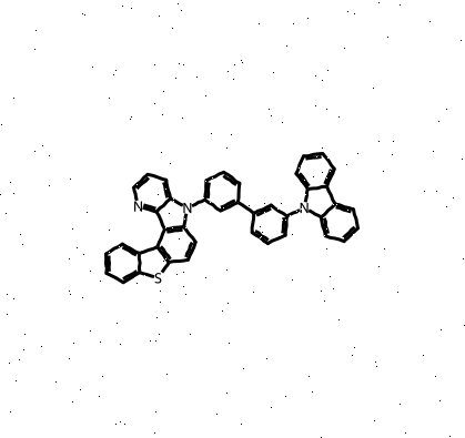 c1cc(-c2cccc(-n3c4cccnc4c4c5c(ccc43)sc3ccccc35)c2)cc(-n2c3ccccc3c3ccccc32)c1